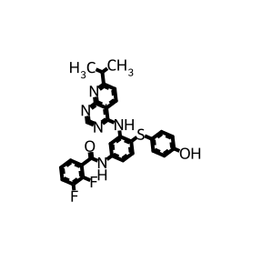 CC(C)c1ccc2c(Nc3cc(NC(=O)c4cccc(F)c4F)ccc3Sc3ccc(O)cc3)ncnc2n1